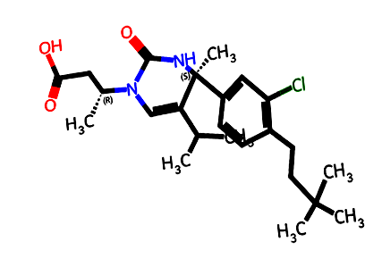 CC(C)C1=CN([C@H](C)CC(=O)O)C(=O)N[C@@]1(C)c1ccc(CCC(C)(C)C)c(Cl)c1